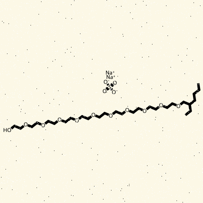 CCCCC(CC)COCCOCCOCCOCCOCCOCCOCCOCCOCCOCCO.O=S(=O)([O-])[O-].[Na+].[Na+]